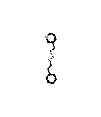 c1ccc(CCSSSCc2cccnc2)cc1